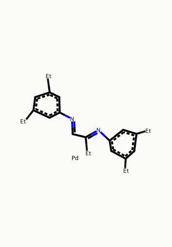 CCC(C=Nc1cc(CC)cc(CC)c1)=Nc1cc(CC)cc(CC)c1.[Pd]